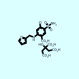 NS(=O)(=O)c1cc(C(=O)O)c(NCc2ccco2)cc1Cl.O=C(O)CC(O)(CC(=O)O)C(=O)O